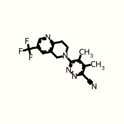 Cc1c(C#N)nnc(N2CCc3ncc(C(F)(F)F)cc3C2)c1C